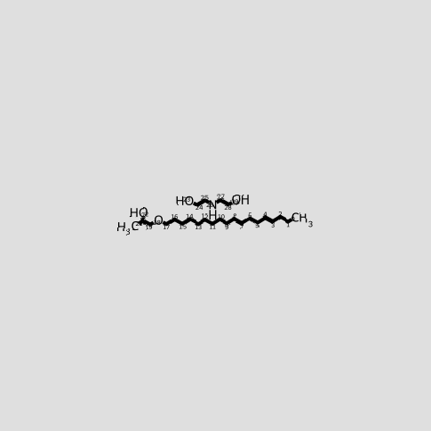 CCCCCCCCCCCCCCCCCCOCC(C)O.OCCNCCO